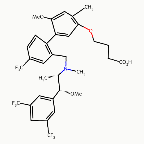 COc1cc(C)c(OCCCC(=O)O)cc1-c1ccc(C(F)(F)F)cc1CN(C)[C@@H](C)[C@H](OC)c1cc(C(F)(F)F)cc(C(F)(F)F)c1